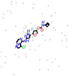 O=C(NC12CC(C1)C2)O[C@@H]1CO[C@H](c2cc(Nc3nccn4ncc(Cl)c34)n[nH]2)[C@H]1F